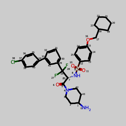 NC1CCN(C(=O)[C@@H](NS(=O)(=O)c2ccc(OCC3CCCCC3)cc2)C(F)(F)c2cccc(-c3ccc(Cl)cc3)c2)CC1